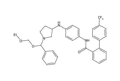 CCOCOC(c1ccccc1)N1CCC(Nc2ccc(NC(=O)c3ccccc3-c3ccc(C(F)(F)F)cc3)cc2)C1